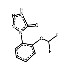 O=c1[nH]nnn1-c1ccccc1OC(F)F